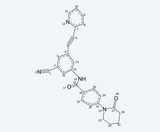 N#Cc1cc(C#Cc2ccccn2)cc(NC(=O)c2ccc(N3CCCCC3=O)cc2)c1